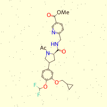 COC(=O)c1ccc(CNC(=O)[C@H]2CC(c3ccc(OC(F)F)c(OCC4CC4)c3)CN2C(C)=O)nc1